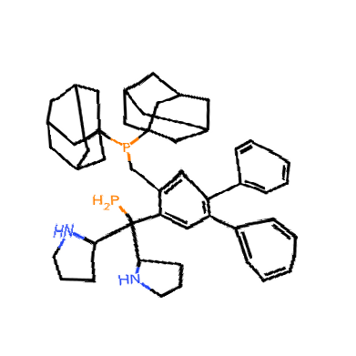 PC(c1cc(-c2ccccc2)c(-c2ccccc2)cc1CP(C12CC3CC(CC(C3)C1)C2)C12CC3CC(CC(C3)C1)C2)(C1CCCN1)C1CCCN1